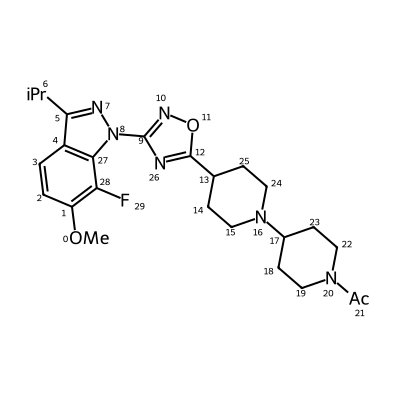 COc1ccc2c(C(C)C)nn(-c3noc(C4CCN(C5CCN(C(C)=O)CC5)CC4)n3)c2c1F